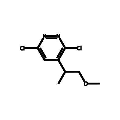 COCC(C)c1cc(Cl)nnc1Cl